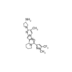 Cc1cn2nc([C@@H]3CCCCN3C(=O)c3cc(C(F)(F)F)n(C)n3)cc2nc1N1CC[C@H](N)C1